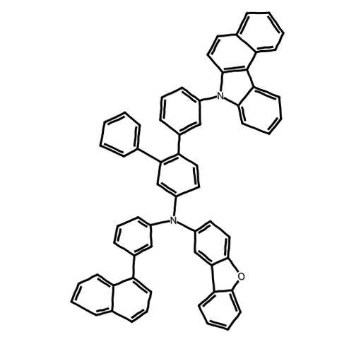 c1ccc(-c2cc(N(c3cccc(-c4cccc5ccccc45)c3)c3ccc4oc5ccccc5c4c3)ccc2-c2cccc(-n3c4ccccc4c4c5ccccc5ccc43)c2)cc1